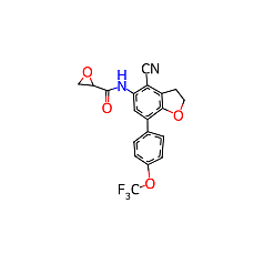 N#Cc1c(NC(=O)C2CO2)cc(-c2ccc(OC(F)(F)F)cc2)c2c1CCO2